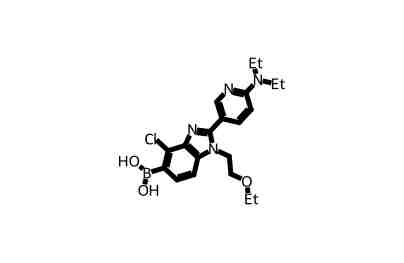 CCOCCn1c(-c2ccc(N(CC)CC)nc2)nc2c(Cl)c(B(O)O)ccc21